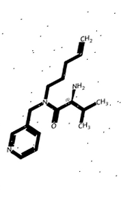 C=CCCCN(Cc1cccnc1)C(=O)[C@@H](N)C(C)C